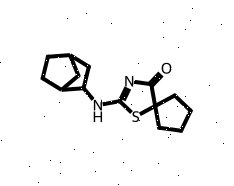 O=C1N=C(NC2CC3CCC2C3)SC12CCCC2